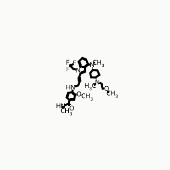 CNC(=O)c1ccc(NCC#Cc2cc3c(N(C)[C@H]4CC[C@@H](N(C)CCOC)CC4)cccc3n2CC(F)(F)F)c(OC)c1